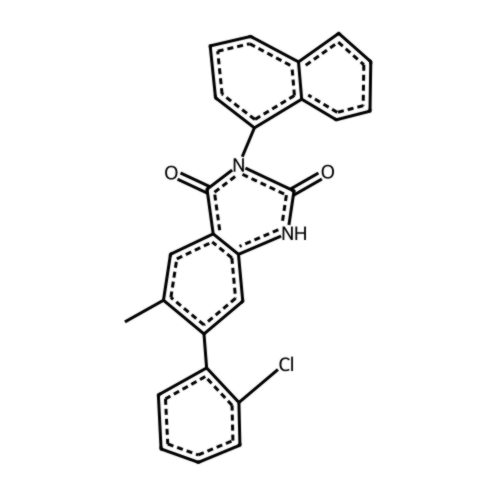 Cc1cc2c(=O)n(-c3cccc4ccccc34)c(=O)[nH]c2cc1-c1ccccc1Cl